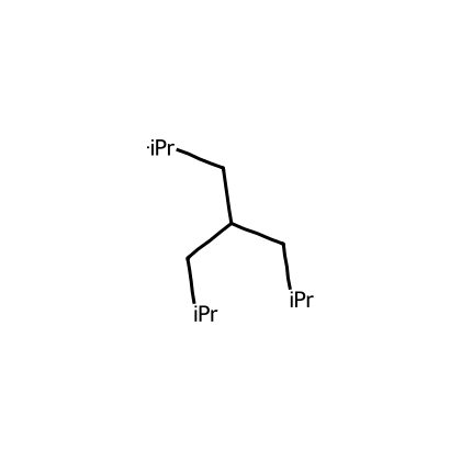 C[C](C)CC(CC(C)C)CC(C)C